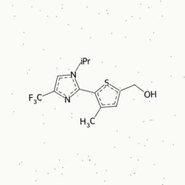 Cc1cc(CO)sc1-c1nc(C(F)(F)F)cn1C(C)C